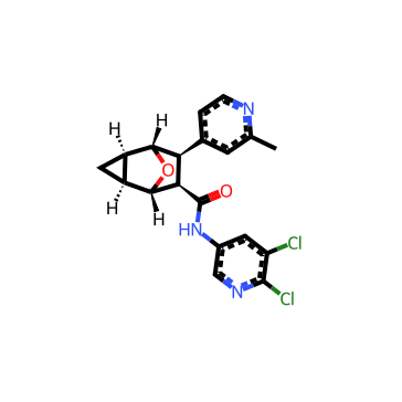 Cc1cc([C@@H]2[C@@H]3O[C@@H]([C@H]4C[C@H]43)[C@@H]2C(=O)Nc2cnc(Cl)c(Cl)c2)ccn1